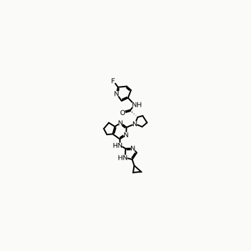 O=C(Nc1ccc(F)nc1)[C@@H]1CCCN1c1nc2c(c(Nc3ncc(C4CC4)[nH]3)n1)CCC2